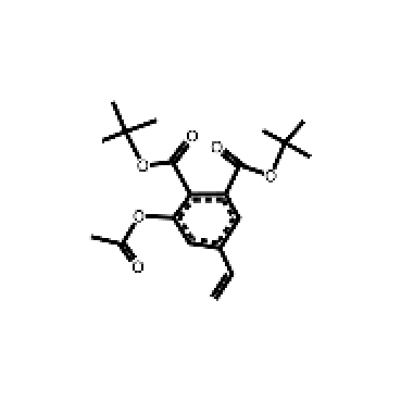 C=Cc1cc(OC(C)=O)c(C(=O)OC(C)(C)C)c(C(=O)OC(C)(C)C)c1